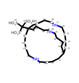 O=S(=O)(O)C(C12CCCCNCCCCC(CCCCNCCCC1)CCCCNCCCC2)(S(=O)(=O)O)S(=O)(=O)O